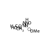 CO[C@H]1CC[C@H](CN2CC(=O)Nc3ncc(-c4ccc(C(C)(C)O)nc4)nc32)CC1